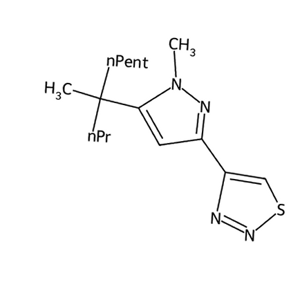 CCCCCC(C)(CCC)c1cc(-c2csnn2)nn1C